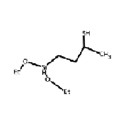 CCO[SiH](CCC(C)S)OCC